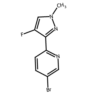 Cn1cc(F)c(-c2ccc(Br)cn2)n1